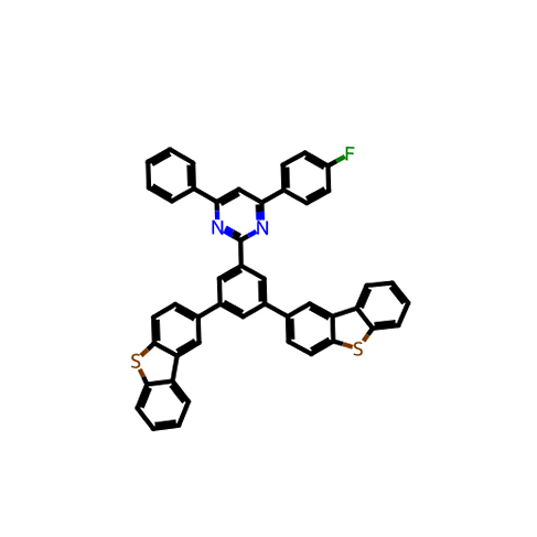 Fc1ccc(-c2cc(-c3ccccc3)nc(-c3cc(-c4ccc5sc6ccccc6c5c4)cc(-c4ccc5sc6ccccc6c5c4)c3)n2)cc1